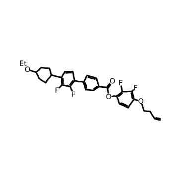 C=CCCOc1ccc(OC(=O)c2ccc(-c3ccc(C4CCC(OCC)CC4)c(F)c3F)cc2)c(F)c1F